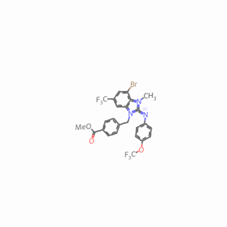 COC(=O)c1ccc(Cn2/c(=N\c3ccc(OC(F)(F)F)cc3)n(C)c3c(Br)cc(C(F)(F)F)cc32)cc1